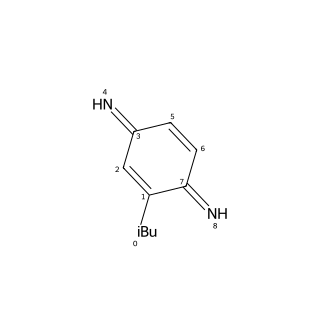 CCC(C)C1=CC(=N)C=CC1=N